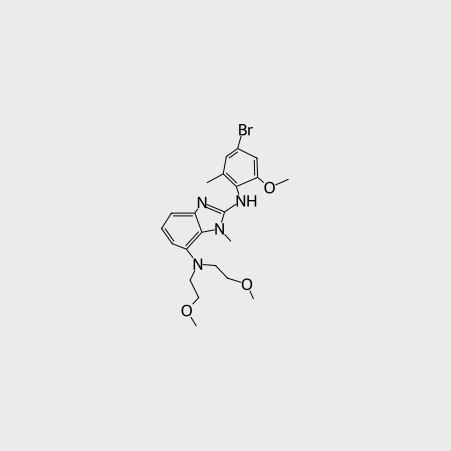 COCCN(CCOC)c1cccc2nc(Nc3c(C)cc(Br)cc3OC)n(C)c12